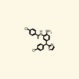 CC(Nc1cc(C(c2ccc(Cl)cc2)c2nccs2)ccc1N)c1ccc(Cl)cc1